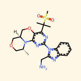 C[C@@H]1COC[C@H]2COc3c(nc(-n4c(CN)nc5ccccc54)nc3C(C)(C)S(C)(=O)=O)N21